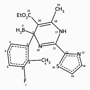 BC1(c2cccc(F)c2C)N=C(c2nccs2)NC(C)=C1C(=O)OCC